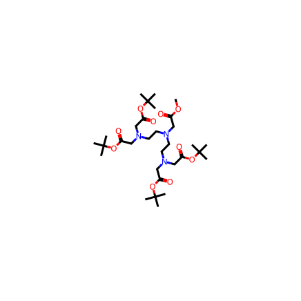 COC(=O)CN(CCN(CC(=O)OC(C)(C)C)CC(=O)OC(C)(C)C)CCN(CC(=O)OC(C)(C)C)CC(=O)OC(C)(C)C